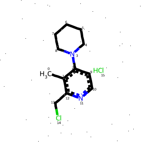 Cc1c(N2CCCCC2)ccnc1CCl.Cl